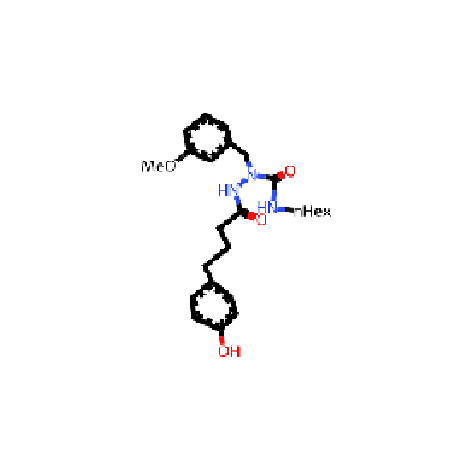 CCCCCCNC(=O)N(Cc1cccc(OC)c1)NC(=O)CCCc1ccc(O)cc1